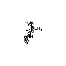 CCn1cc(C(=O)OC)cc1C(=O)NC1CCC(Nc2cccc3nc(C(F)(F)F)cn23)CC1